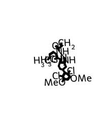 C=CC(=O)NC(/C=C\C(=C)C)=C(/C)c1n[nH]c2c1CCC(c1c(Cl)c(OC)cc(OC)c1Cl)C2